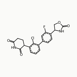 O=C1CCC(c2cccc(-c3ccc(C4COC(=O)N4)c(F)c3)c2Cl)C(=O)N1